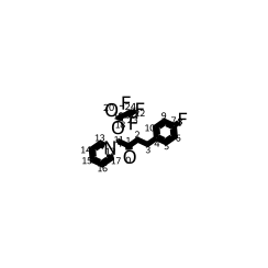 O=C(CCc1ccc(F)cc1)C[n+]1ccccc1.O=C([O-])C(F)(F)F